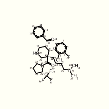 Cc1c(F)cccc1[C@H]1[C@@H](C(=O)c2ccccc2)CNC[C@@]1(CCCCN(C)C)C(=O)N1CCC[C@H]1C(F)(F)F